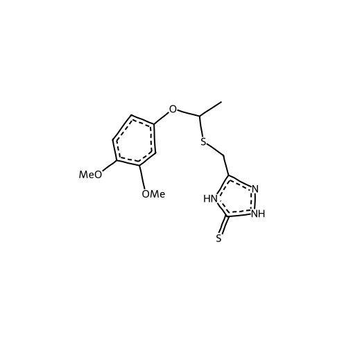 COc1ccc(OC(C)SCc2n[nH]c(=S)[nH]2)cc1OC